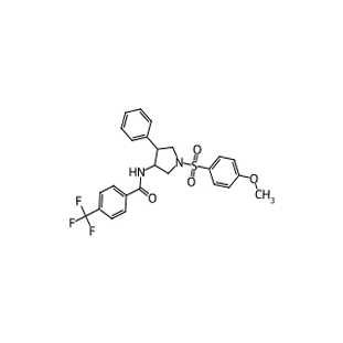 COc1ccc(S(=O)(=O)N2CC(NC(=O)c3ccc(C(F)(F)F)cc3)C(c3ccccc3)C2)cc1